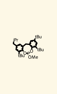 COP1Oc2c(cc(CC(C)C)cc2C(C)(C)C)Cc2cc(C(C)(C)C)cc(C(C)(C)C)c2O1